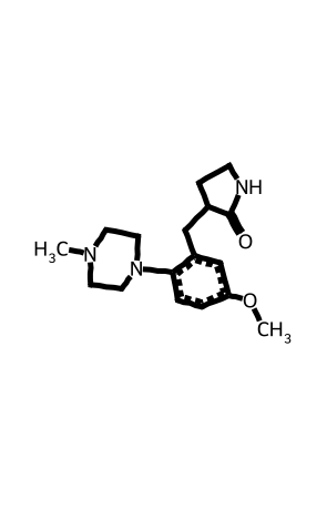 COc1ccc(N2CCN(C)CC2)c(CC2CCNC2=O)c1